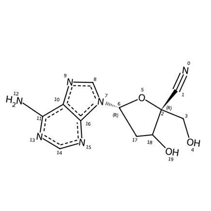 N#C[C@]1(CO)O[C@@H](n2cnc3c(N)ncnc32)CC1O